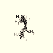 CCCc1cc(-c2nc(OCC)c(C)s2)ccc1OCCCOc1ccc2c(c1)c(C)cn2C(C)C